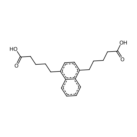 O=C(O)CCCCc1ccc(CCCCC(=O)O)c2ccccc12